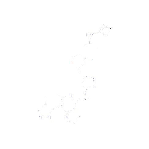 Cc1cnn(C)c1-c1c(C)nc(Nc2cc([C@@H]3OC[C@H](OC(=O)NC45CC(C4)C5)[C@@H]3F)[nH]n2)n2ccnc12